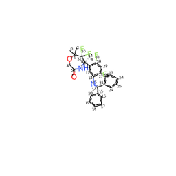 CC1(C)OCC(=O)N[C@](C)(c2cc(N=C(c3ccccc3)c3ccccc3)c(F)cc2F)C1(F)F